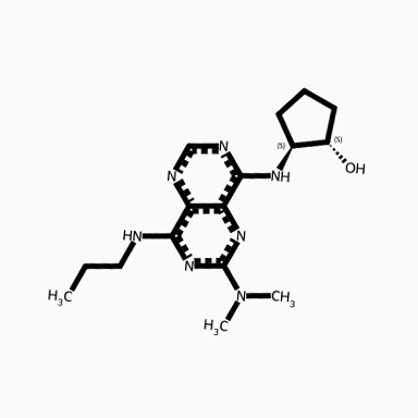 CCCNc1nc(N(C)C)nc2c(N[C@H]3CCC[C@@H]3O)ncnc12